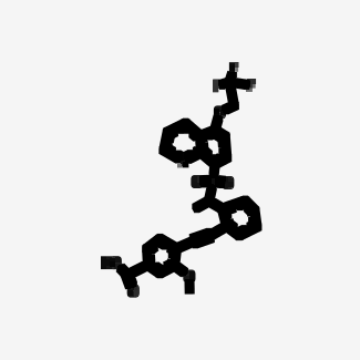 COc1cc(C(=O)O)ccc1C#Cc1ccccc1C(C)S(=O)(=O)c1ccc(OCC(F)(F)F)c2cccnc12